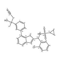 CC(O)(CC#N)c1ccnc(-c2cccc3cc(C(NS(=O)(=O)C4CC4)c4ccccc4Cl)sc23)c1